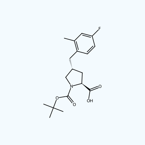 Cc1cc(F)ccc1C[C@@H]1C[C@@H](C(=O)O)N(C(=O)OC(C)(C)C)C1